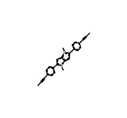 CC#Cc1ccc(-c2cc3c(cc(-c4ccc(C#CC)cc4)n3C)n2C)cc1